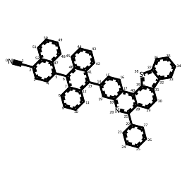 N#Cc1ccc(-c2c3ccccc3c(-c3ccc4c(c3)nc(-c3ccccc3)c3ccc5c6ccccc6sc5c34)c3ccccc23)c2ccccc12